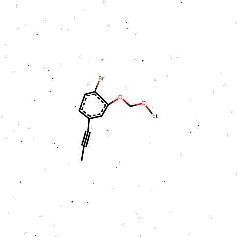 CC#Cc1ccc(Br)c(OCOCC)c1